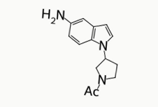 CC(=O)N1CCC(n2ccc3cc(N)ccc32)C1